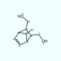 CC1C2C=CC1C(CO)C2CO